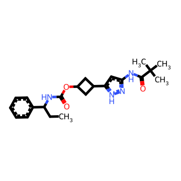 CCC(NC(=O)OC1CC(c2cc(NC(=O)C(C)(C)C)n[nH]2)C1)c1ccccc1